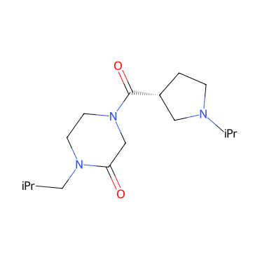 CC(C)CN1CCN(C(=O)[C@@H]2CCN(C(C)C)C2)CC1=O